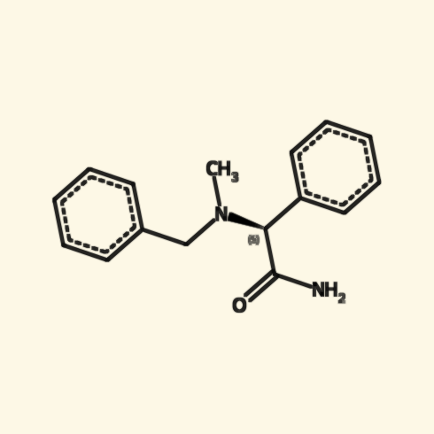 CN(Cc1ccccc1)[C@H](C(N)=O)c1ccccc1